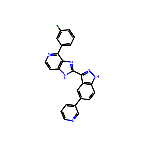 Fc1cccc(-c2nccc3[nH]c(-c4n[nH]c5ccc(-c6cccnc6)cc45)nc23)c1